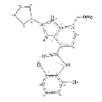 COCc1ccc(C(=O)Nc2c(Cl)cncc2Cl)c2nc(C3CCCC3)[nH]c12